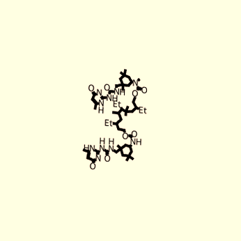 CCC(CCOC(=O)NC1CC(C)(C)CC(C)(CNC(=O)Nc2nc(=O)cc(C)[nH]2)C1)CC(C)C(CC)C(C)(C)CC(CC)CCOC(=O)N(C)C1CC(C)(C)CC(C)(CNC(=O)Nc2nc(=O)cc(C)[nH]2)C1